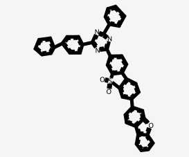 O=S1(=O)c2cc(-c3ccc4c(c3)oc3ccccc34)ccc2-c2ccc(-c3nc(-c4ccccc4)nc(-c4ccc(-c5ccccc5)cc4)n3)cc21